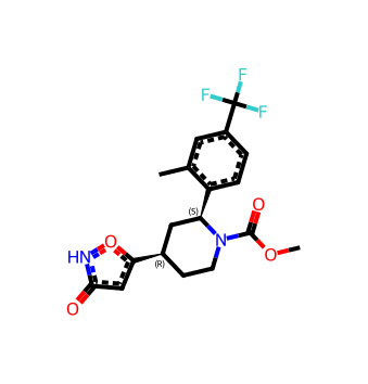 COC(=O)N1CC[C@@H](c2cc(=O)[nH]o2)C[C@H]1c1ccc(C(F)(F)F)cc1C